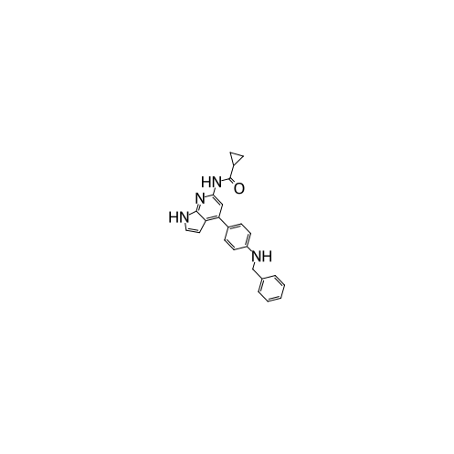 O=C(Nc1cc(-c2ccc(NCc3ccccc3)cc2)c2cc[nH]c2n1)C1CC1